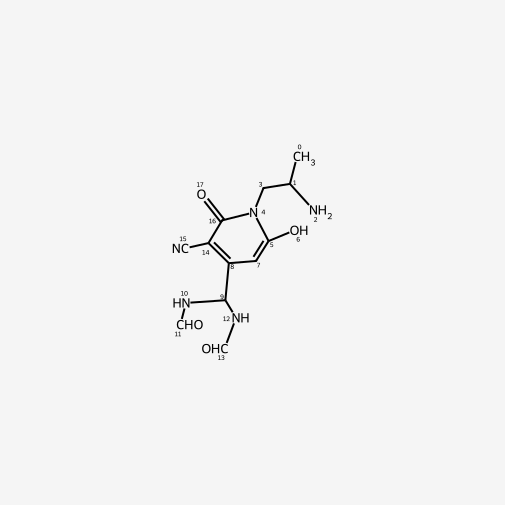 CC(N)Cn1c(O)cc(C(NC=O)NC=O)c(C#N)c1=O